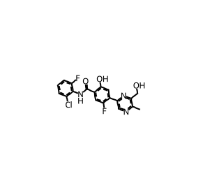 Cc1ncc(-c2cc(O)c(C(=O)Nc3c(F)cccc3Cl)cc2F)nc1CO